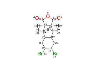 O=C1OC(=O)[C@H]2[C@@H]1[C@@H]1C[C@H]2C2CC(Br)C(Br)CC21